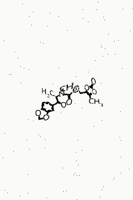 Cc1oc(=O)oc1COC(=O)N(C)[C@@H](C)C(=O)c1ccc2c(c1)OCO2